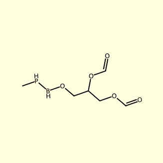 CPBOCC(COC=O)OC=O